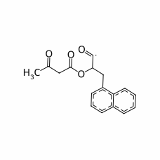 CC(=O)CC(=O)OC([C]=O)Cc1cccc2ccccc12